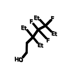 CCC(F)(CC)C(F)(F)C(CC)(CC)CCO